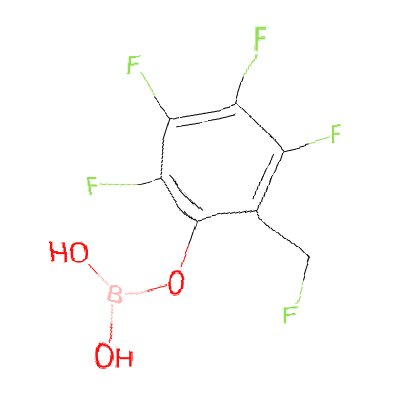 OB(O)Oc1c(F)c(F)c(F)c(F)c1CF